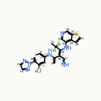 C=C(NC(=C/C)/C=C(/Cl)C(=C)n1nccn1)/C(C=N)=C(/Nc1cncc2sccc12)C(C)(F)F